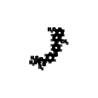 Cc1nccc2c(C)c(-c3ccc(OC4CCN(C(=O)OC(C)(C)C)CC4)cc3)ccc12